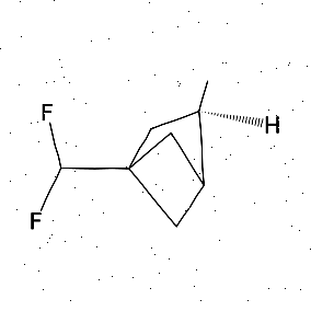 C[C@@H]1CC2(C(F)F)CC1C2